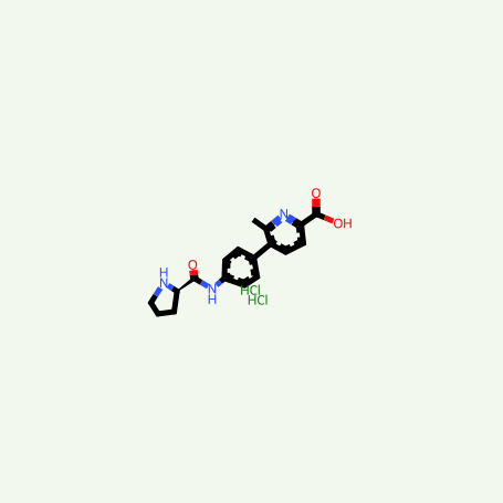 Cc1nc(C(=O)O)ccc1-c1ccc(NC(=O)[C@H]2CCCN2)cc1.Cl.Cl